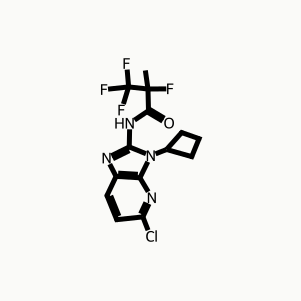 CC(F)(C(=O)Nc1nc2ccc(Cl)nc2n1C1CCC1)C(F)(F)F